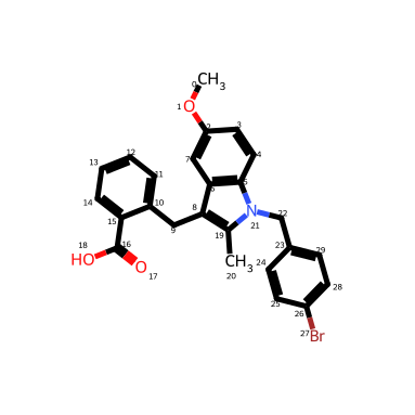 COc1ccc2c(c1)c(Cc1ccccc1C(=O)O)c(C)n2Cc1ccc(Br)cc1